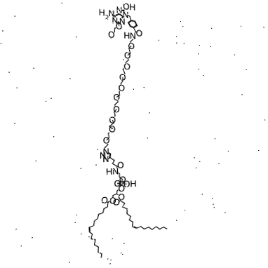 CCCCCCCC/C=C\CCCCCCCC(=O)OCC(COP(=O)(O)OCCNC(=O)CCc1cn(CCOCCOCCOCCOCCOCCOCCOCCOCCOCCOCCNC(=O)c2ccc(Cn3c(O)nc4c(N)nc(OCCOC)nc43)cc2)nn1)OC(=O)CCCCCCC/C=C\CCCCCCCC